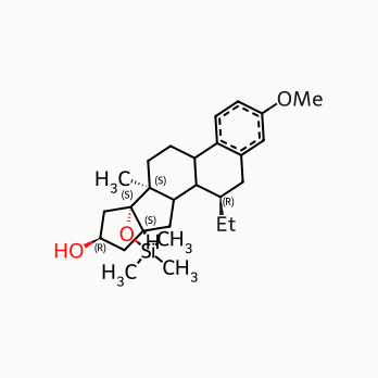 CC[C@@H]1Cc2cc(OC)ccc2C2CC[C@@]3(C)C(C[C@H]4C[C@@H](O)C[C@]43O[Si](C)(C)C)C21